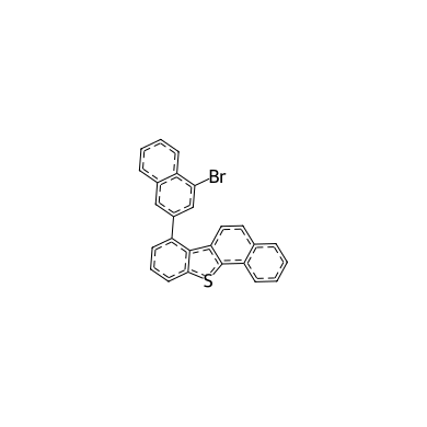 Brc1cc(-c2cccc3sc4c5ccccc5ccc4c23)cc2ccccc12